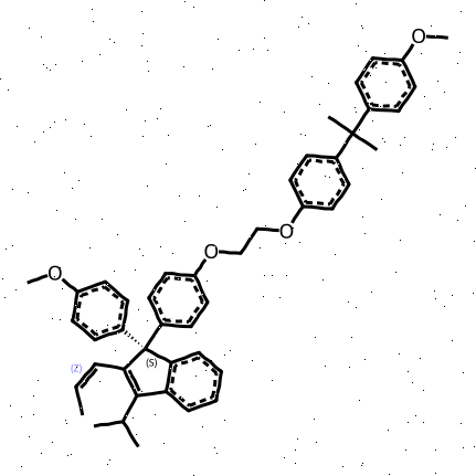 C/C=C\C1=C(C(C)C)c2ccccc2[C@]1(c1ccc(OC)cc1)c1ccc(OCCOc2ccc(C(C)(C)c3ccc(OC)cc3)cc2)cc1